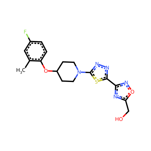 Cc1cc(F)ccc1OC1CCN(c2nnc(-c3noc(CO)n3)s2)CC1